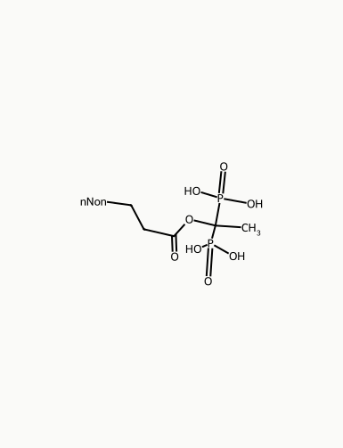 CCCCCCCCCCCC(=O)OC(C)(P(=O)(O)O)P(=O)(O)O